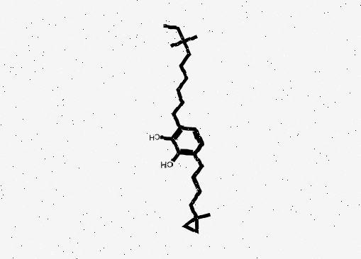 CCC(C)(C)CCCCCCc1ccc(CCCCC2(C)CC2)c(O)c1O